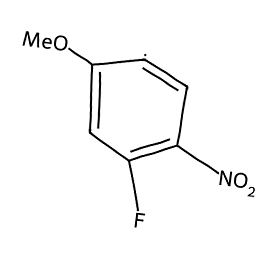 COc1[c]cc([N+](=O)[O-])c(F)c1